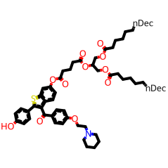 CCCCCCCCCCCCCCCC(=O)OCC(COC(=O)CCCCCCCCCCCCCCC)OC(=O)CCCC(=O)Oc1ccc2c(C(=O)c3ccc(OCCN4CCCCC4)cc3)c(-c3ccc(O)cc3)sc2c1